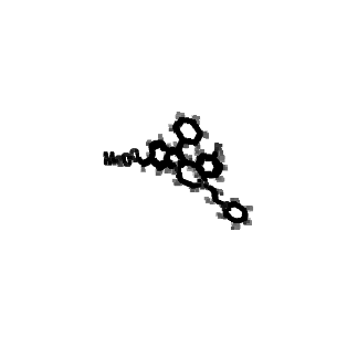 COOCc1ccc2c(C3CCCCC3)c3n(c2c1)CCN(CCN1CCCCC1)c1ccc(F)cc1-3